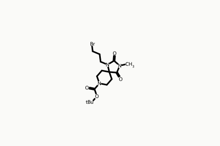 CN1C(=O)N(CCCBr)C2(CCN(C(=O)OC(C)(C)C)CC2)C1=O